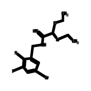 CCOC(OCC)C(=N)NCc1cc(Br)cc(I)c1F